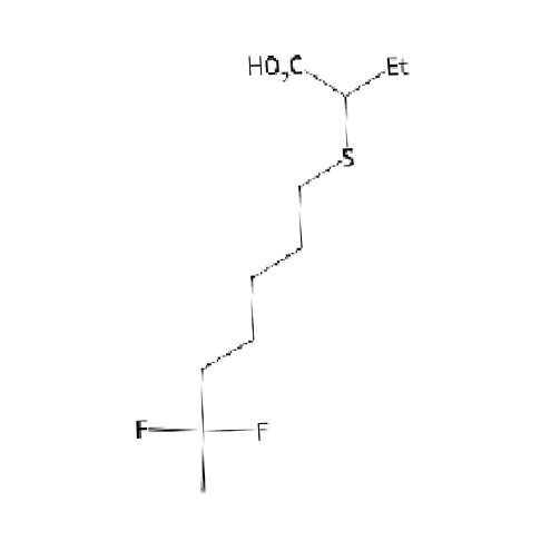 CCC(SCCCCCC(C)(F)F)C(=O)O